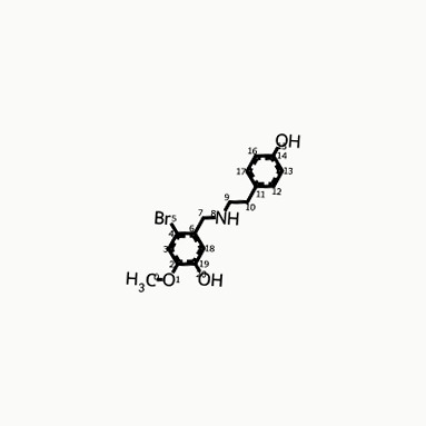 COc1cc(Br)c(CNCCc2ccc(O)cc2)cc1O